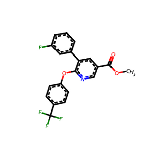 COC(=O)c1cnc(Oc2ccc(C(F)(F)F)cc2)c(-c2cccc(F)c2)c1